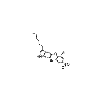 CCCCCCc1c[nH]c2ccc(Oc3c(Br)cc([N+](=O)[O-])cc3Br)cc12